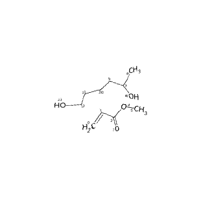 C=CC(=O)OC.CC(O)CCCCO